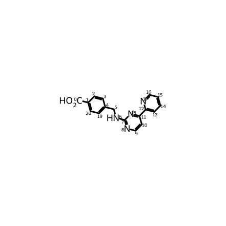 O=C(O)c1ccc(CNc2nccc(-c3ccccn3)n2)cc1